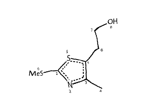 CSc1nc(C)c(CCO)s1